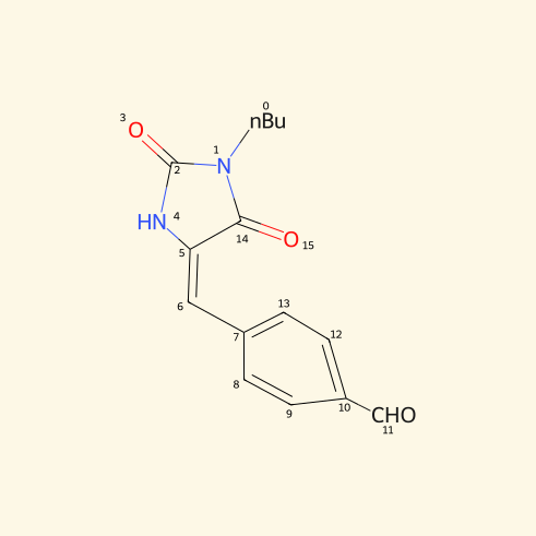 CCCCN1C(=O)NC(=Cc2ccc(C=O)cc2)C1=O